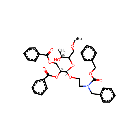 CCCCOCC(O[C@@H](OCCN(Cc1ccccc1)C(=O)OCc1ccccc1)[C@H](COC(=O)c1ccccc1)OC(=O)c1ccccc1)[C@H](C)O